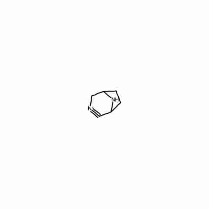 C1#[N+]CC2CCC1N2